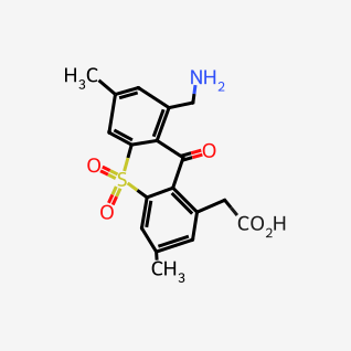 Cc1cc(CN)c2c(c1)S(=O)(=O)c1cc(C)cc(CC(=O)O)c1C2=O